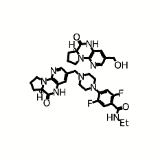 CCNC(=O)c1cc(F)c(N2CCN(Cc3cnc4c(c3)NC(=O)[C@@H]3CCCN43)CC2)cc1F.O=C1Nc2cc(CO)cnc2N2CCC[C@@H]12